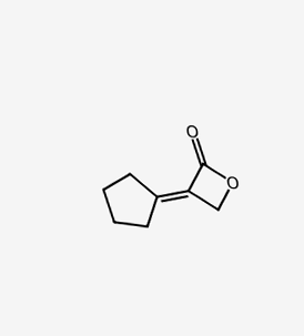 O=C1OCC1=C1CCCC1